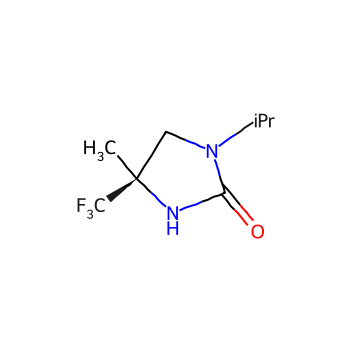 CC(C)N1C[C@](C)(C(F)(F)F)NC1=O